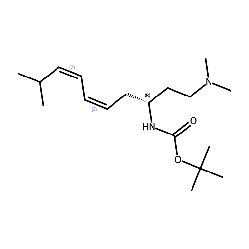 CC(C)/C=C\C=C/C[C@H](CCN(C)C)NC(=O)OC(C)(C)C